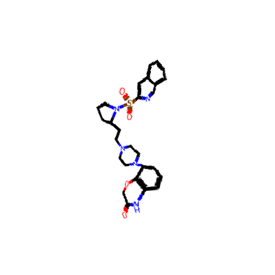 O=C1COc2c(cccc2N2CCN(CCC3CCCN3S(=O)(=O)c3cc4ccccc4cn3)CC2)N1